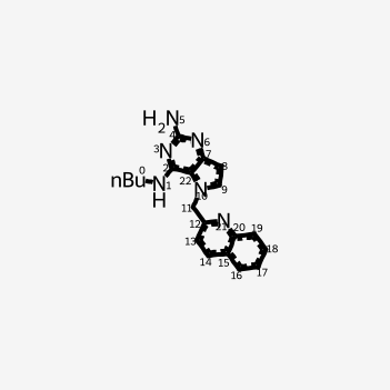 CCCCNc1nc(N)nc2ccn(Cc3ccc4ccccc4n3)c12